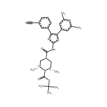 Cc1cc(-c2sc(NC(=O)N3C[C@@H](C)N(C(=O)OC(C)(C)C)[C@@H](C)C3)nc2-c2cccc(C#N)c2)cc(C)n1